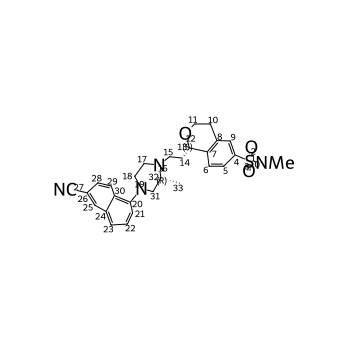 CNS(=O)(=O)c1ccc2c(c1)CCO[C@H]2CCN1CCN(c2cccc3cc(C#N)ccc23)C[C@H]1C